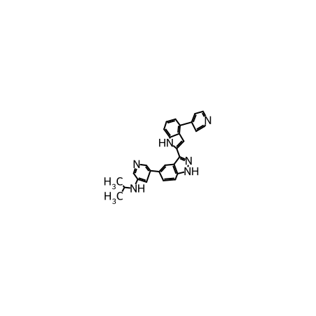 CC(C)Nc1cncc(-c2ccc3[nH]nc(-c4cc5c(-c6ccncc6)cccc5[nH]4)c3c2)c1